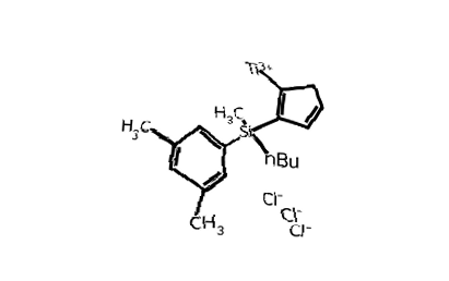 CCCC[Si](C)(C1=[C]([Ti+3])CC=C1)c1cc(C)cc(C)c1.[Cl-].[Cl-].[Cl-]